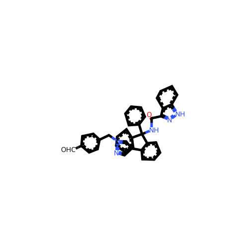 O=Cc1ccc(Cn2cc(-c3ccccc3C(NC(=O)c3n[nH]c4ccccc34)(c3ccccc3)c3ccccc3)cn2)cc1